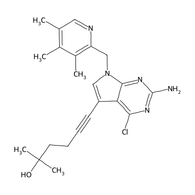 Cc1cnc(Cn2cc(C#CCCC(C)(C)O)c3c(Cl)nc(N)nc32)c(C)c1C